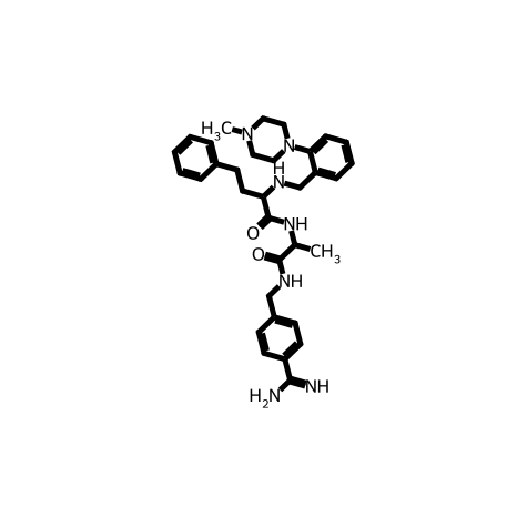 CC(NC(=O)C(CCc1ccccc1)NCc1ccccc1N1CCN(C)CC1)C(=O)NCc1ccc(C(=N)N)cc1